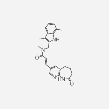 Cc1c(CN(C)C(=O)C=Cc2cnc3c(c2)CCCC(=O)N3)[nH]c2c(C)cccc12